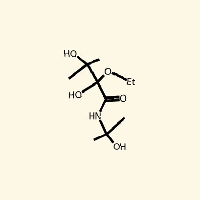 CCOC(O)(C(=O)NC(C)(C)O)C(C)(C)O